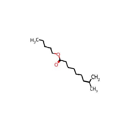 CCCCCOC(=O)CCCCCCC(C)C